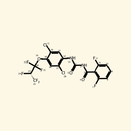 O=C(NC(=O)c1c(F)cccc1F)Nc1cc(Cl)c(OC(F)(F)[C@@H](F)C(F)(F)F)cc1Cl